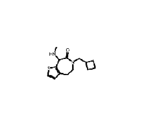 CNC1C(=O)N(CC2CCC2)CCc2ccsc21